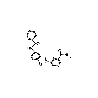 NC(=O)c1cncc(OCc2cc(NC(=O)c3ccccn3)ccc2Cl)n1